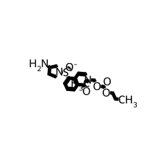 CCCOC(=O)OCN(C)/C=C\c1c(C=O)cccc1[S+]([O-])N1CCC(N)C1